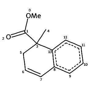 COC(=O)C1(C)CC=Cc2ccccc21